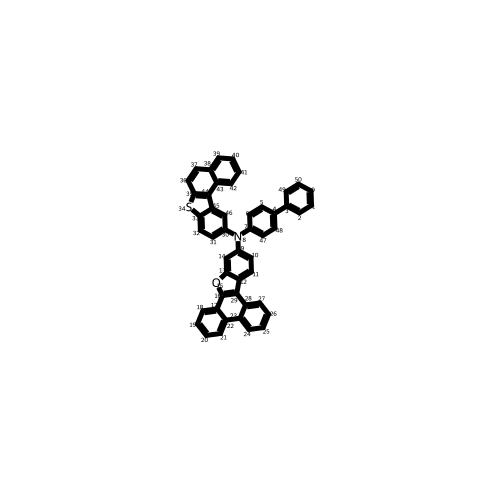 c1ccc(-c2ccc(N(c3ccc4c(c3)oc3c5ccccc5c5ccccc5c43)c3ccc4sc5ccc6ccccc6c5c4c3)cc2)cc1